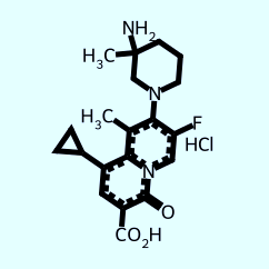 Cc1c(N2CCCC(C)(N)C2)c(F)cn2c(=O)c(C(=O)O)cc(C3CC3)c12.Cl